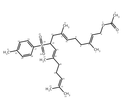 CC(=O)OCC=C(C)CCC=C(C)CC(C=C(C)CCC=C(C)C)S(=O)(=O)c1ccc(C)cc1